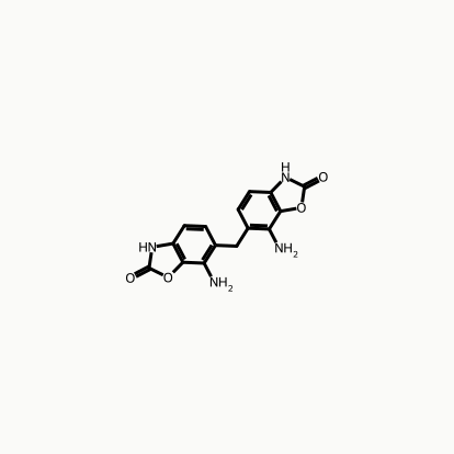 Nc1c(Cc2ccc3[nH]c(=O)oc3c2N)ccc2[nH]c(=O)oc12